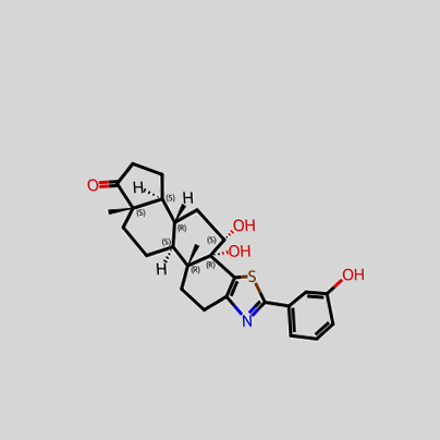 C[C@]12CC[C@H]3[C@@H](C[C@H](O)[C@@]4(O)c5sc(-c6cccc(O)c6)nc5CC[C@]34C)[C@@H]1CCC2=O